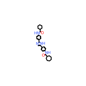 O=C(Nc1ccc(-c2cnc(-c3ccc(NC(=O)C4CCCCC4)cc3)[nH]2)cc1)C1CCCCCC1